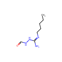 CCCCCN=C(N)NNC=O